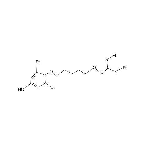 CCSC(COCCCCCOc1c(CC)cc(O)cc1CC)SCC